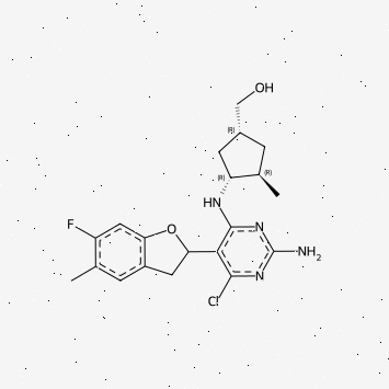 Cc1cc2c(cc1F)OC(c1c(Cl)nc(N)nc1N[C@@H]1C[C@H](CO)C[C@H]1C)C2